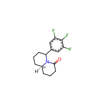 O=C1CCC[C@H]2CCCC(c3cc(F)c(F)c(F)c3)N12